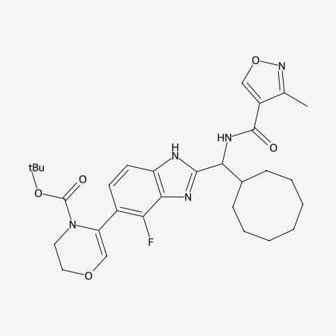 Cc1nocc1C(=O)NC(c1nc2c(F)c(C3=COCCN3C(=O)OC(C)(C)C)ccc2[nH]1)C1CCCCCCC1